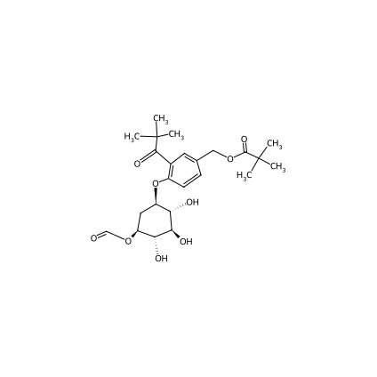 CC(C)(C)C(=O)OCc1ccc(O[C@@H]2C[C@H](OC=O)[C@@H](O)[C@H](O)[C@H]2O)c(C(=O)C(C)(C)C)c1